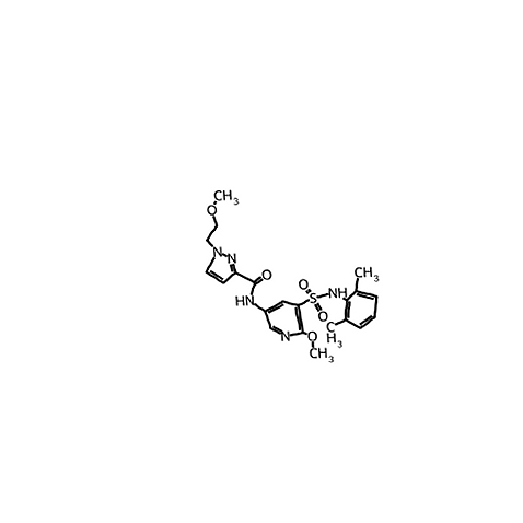 COCCn1ccc(C(=O)Nc2cnc(OC)c(S(=O)(=O)Nc3c(C)cccc3C)c2)n1